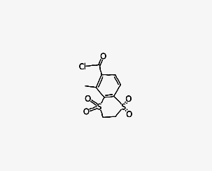 Cc1c(C(=O)Cl)ccc2c1S(=O)(=O)CCS2(=O)=O